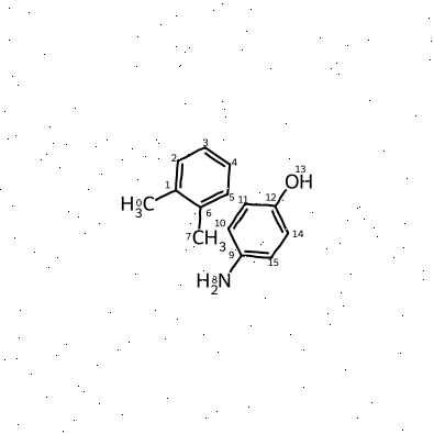 Cc1ccccc1C.Nc1ccc(O)cc1